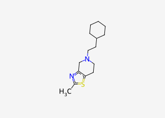 Cc1nc2c(s1)CCN(CCC1CCCCC1)C2